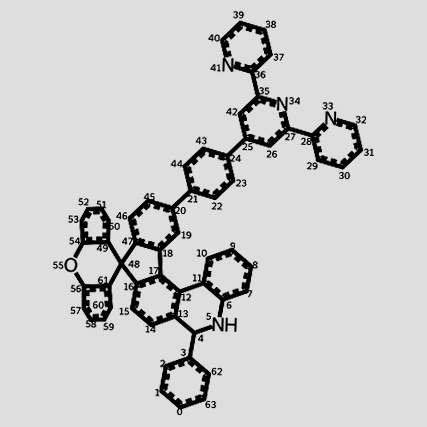 c1ccc(C2Nc3ccccc3-c3c2ccc2c3-c3cc(-c4ccc(-c5cc(-c6ccccn6)nc(-c6ccccn6)c5)cc4)ccc3C23c2ccccc2Oc2ccccc23)cc1